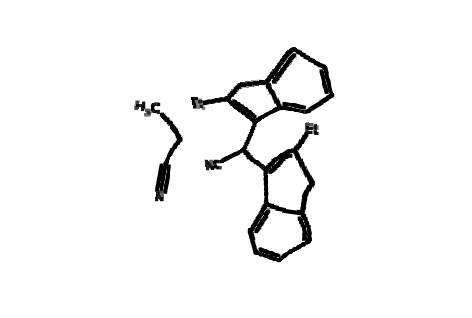 CCC#N.CCC1=C(C(C#N)C2=C(CC)Cc3ccccc32)c2ccccc2C1